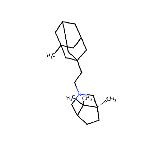 CC12CC3CC(C1)CC(CCN1CC4CC[C@](C)(C1)C4(C)C)(C3)C2